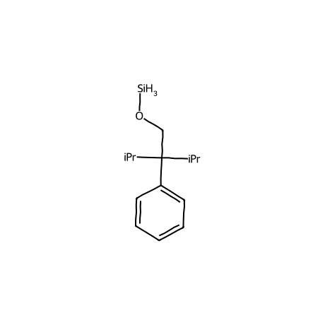 CC(C)C(CO[SiH3])(c1ccccc1)C(C)C